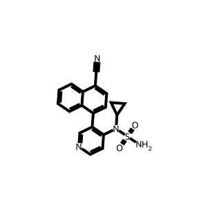 N#Cc1ccc(-c2cnccc2N(C2CC2)S(N)(=O)=O)c2ccccc12